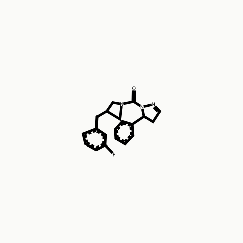 O=C(N1CC(Cc2cccc(F)c2)C1)N1N=CCC1c1ccccc1